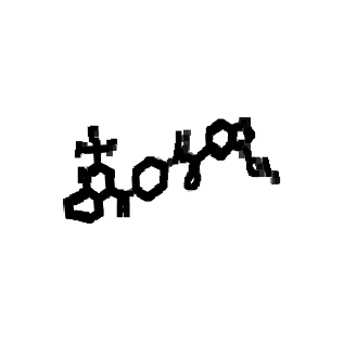 Cn1cnc2ccc(C(=O)N[C@H]3CC[C@@H](Nc4cc(C(F)(F)F)nc5ccccc45)CC3)cc21